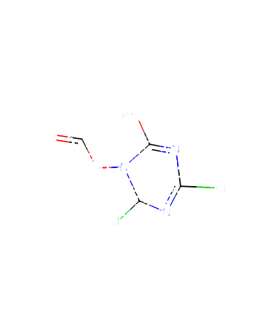 O=CON1C(O)=NC(Cl)=NC1Cl